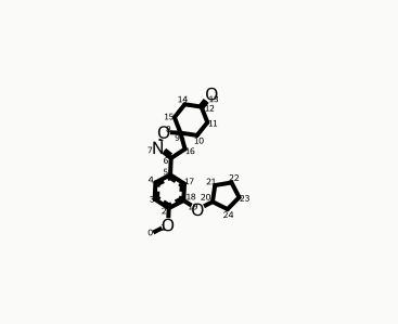 COc1ccc(C2=NOC3(CCC(=O)CC3)C2)cc1OC1CCCC1